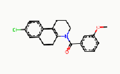 COc1cccc(C(=O)N2CCCC3=C2CCc2cc(Cl)ccc23)c1